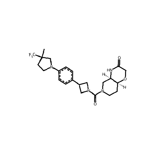 CC1(C(F)(F)F)CCN(c2ccc(C3CN(C(=O)N4CC[C@@H]5OCC(=O)N[C@@H]5C4)C3)cc2)C1